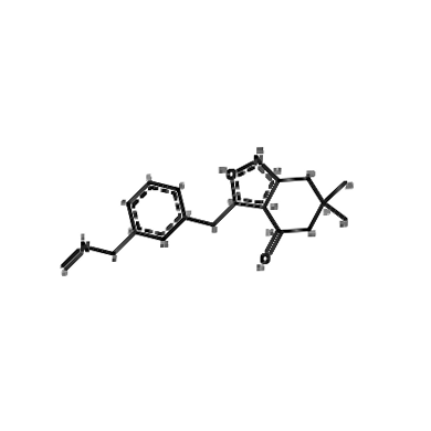 C=NCc1cccc(Cc2onc3c2C(=O)CC(C)(C)C3)c1